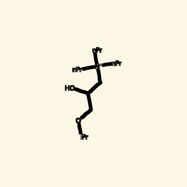 CCC[N+](CCC)(CCC)CC(O)COC(C)C